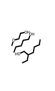 CCCCC(CC)CO.CCCCCO.COCCO